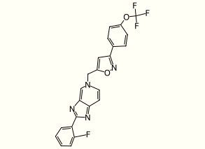 Fc1ccccc1-c1nc2ccn(Cc3cc(-c4ccc(OC(F)(F)F)cc4)no3)cc-2n1